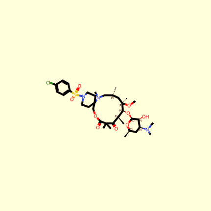 CO[C@]1(C)C[C@@H](C)CN(C)C2(CCN(S(=O)(=O)c3ccc(Cl)cc3)CC2)COC(=O)C(C)(C)C(=O)[C@H](C)[C@H]1O[C@@H]1O[C@H](C)C[C@H](N(C)C)[C@H]1O